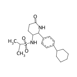 CC(C)S(=O)(=O)NC1CCC(=O)NC1c1ccc(C2CCCCC2)cc1